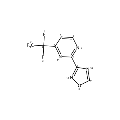 FC(F)(F)C(F)(F)c1ccnc(-c2ncon2)n1